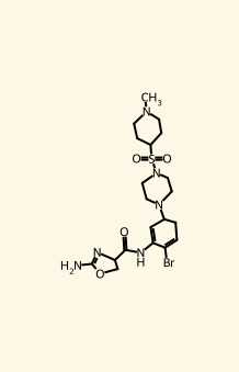 CN1CCC(S(=O)(=O)N2CCN(C3C=C(NC(=O)C4COC(N)=N4)C(Br)=CC3)CC2)CC1